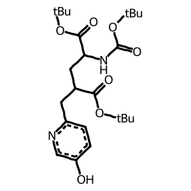 CC(C)(C)OC(=O)NC(CC(Cc1ccc(O)cn1)C(=O)OC(C)(C)C)C(=O)OC(C)(C)C